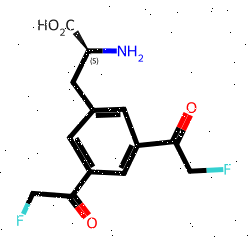 N[C@@H](Cc1cc(C(=O)CF)cc(C(=O)CF)c1)C(=O)O